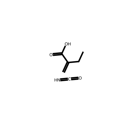 C=C(CC)C(=O)O.N=C=O